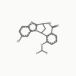 O=C1NC2CC(c3c(OC(F)F)cccc31)n1c2nc2ccc(Cl)cc21